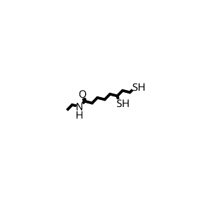 CCNC(=O)CCCCC(S)CCS